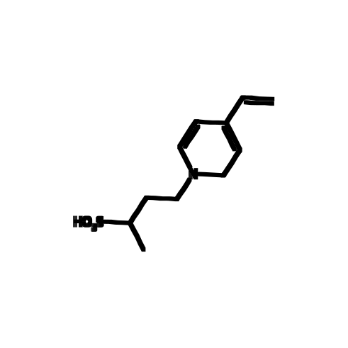 C=CC1=CCN(CCC(C)S(=O)(=O)O)C=C1